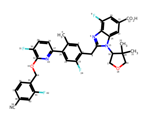 Cc1cc(Cc2nc3c(F)cc(C(=O)O)cc3n2C2COCC2(C)C)c(F)cc1-c1ccc(F)c(OCc2ccc(C#N)cc2F)n1